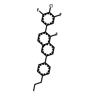 CCCc1ccc(-c2ccc3c(F)c(-c4cc(F)c(Cl)c(F)c4)ccc3c2)cc1